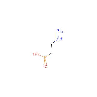 NNCC[PH](=O)O